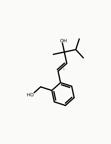 CC(C)C(C)(O)/C=C/c1ccccc1CO